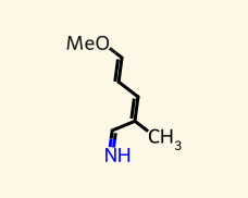 CO/C=C/C=C(/C)C=N